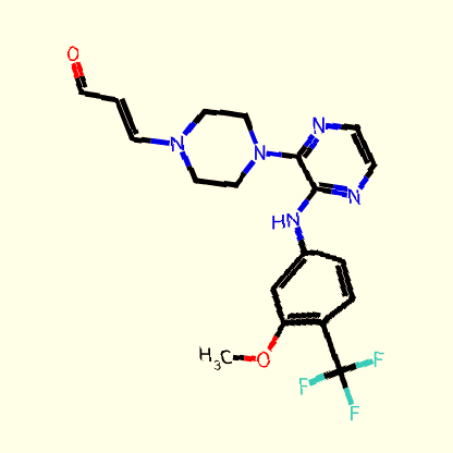 COc1cc(Nc2nccnc2N2CCN(C=CC=O)CC2)ccc1C(F)(F)F